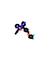 CC#CC(=O)N1CCCCC1c1nc(-c2ccc(COc3ccc(F)c(F)c3)cc2)c2cnccn12